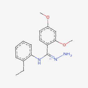 CCc1ccccc1N/C(=N/N)c1ccc(OC)cc1OC